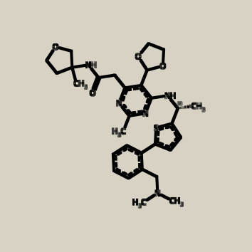 Cc1nc(CC(=O)NC2(C)CCOC2)c(C2OCCO2)c(N[C@H](C)c2ccc(-c3ccccc3CN(C)C)s2)n1